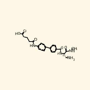 NC[C@H](NC(=O)c1ccc(-c2ccc(NC(=O)CCCC(=O)O)cc2)cc1)C(=O)NO